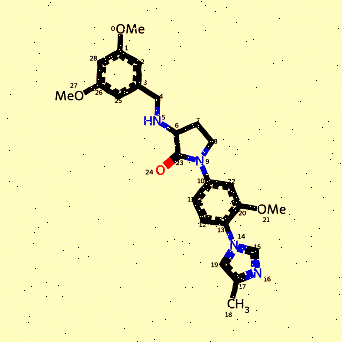 COc1cc(CNC2CCN(c3ccc(-n4cnc(C)c4)c(OC)c3)C2=O)cc(OC)c1